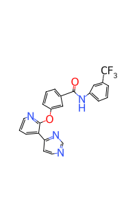 O=C(Nc1cccc(C(F)(F)F)c1)c1cccc(Oc2ncccc2-c2ccncn2)c1